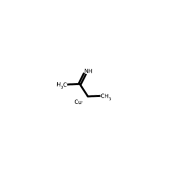 CCC(C)=N.[Cu]